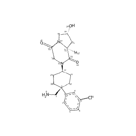 NC[C@]1(c2cccc(Cl)c2)CC[C@H](N2CC(=O)N3C[C@H](O)C[C@H]3C2=O)CC1